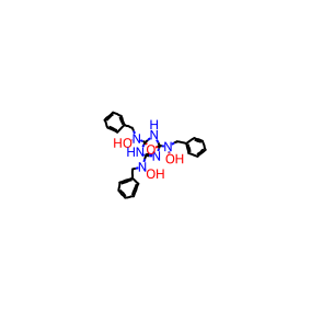 ON(Cc1ccccc1)C1=NC2(N(O)Cc3ccccc3)NC(N(O)Cc3ccccc3)(N1)O2